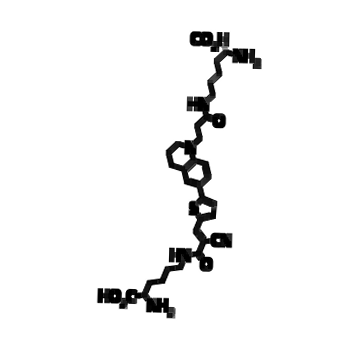 N#C/C(=C\c1ccc(-c2ccc3c(c2)CCCN3CCC(=O)NCCCC[C@@H](N)C(=O)O)s1)C(=O)NCCCC[C@@H](N)C(=O)O